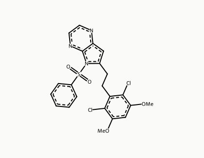 COc1cc(OC)c(Cl)c(CCc2cc3nccnc3n2S(=O)(=O)c2ccccc2)c1Cl